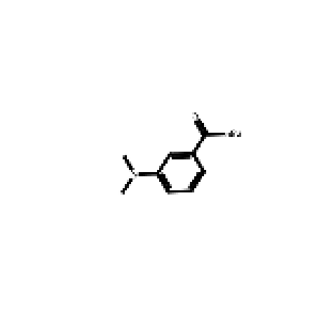 CCCCC(=O)c1cccc(N(C)C)c1